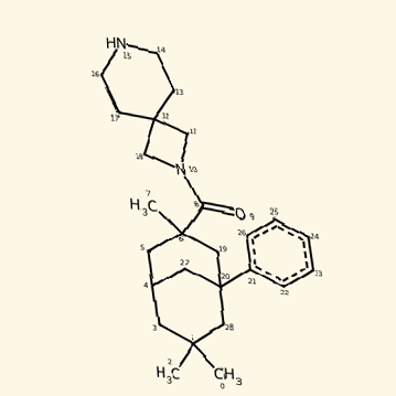 CC1(C)CC2CC(C)(C(=O)N3CC4(CCNCC4)C3)CC(c3ccccc3)(C2)C1